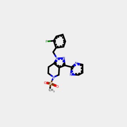 CS(=O)(=O)N1CCc2c(c(-c3ncccn3)nn2Cc2ccccc2F)C1